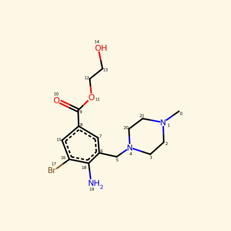 CN1CCN(Cc2cc(C(=O)OCCO)cc(Br)c2N)CC1